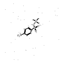 C[Si](C)(C)OS(=O)(=O)c1ccc([N+](=O)[O-])cc1